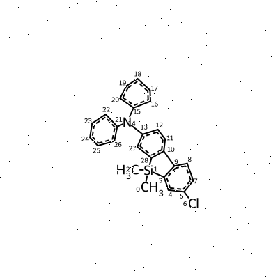 C[Si]1(C)c2cc(Cl)ccc2-c2ccc(N(c3ccccc3)c3ccccc3)cc21